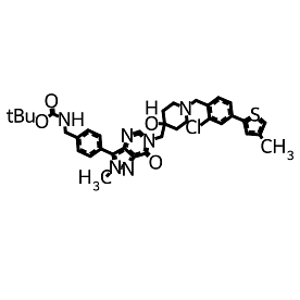 Cc1csc(-c2ccc(CN3CCC(O)(Cn4cnc5c(-c6ccc(CNC(=O)OC(C)(C)C)cc6)n(C)nc5c4=O)CC3)c(Cl)c2)c1